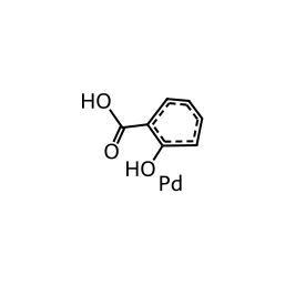 O=C(O)c1ccccc1O.[Pd]